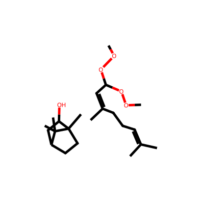 CC1(C)C2CCC1(C)C(O)C2.COOC(C=C(C)CCC=C(C)C)OOC